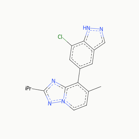 Cc1ccn2nc(C(C)C)nc2c1-c1cc(Cl)c2[nH]ncc2c1